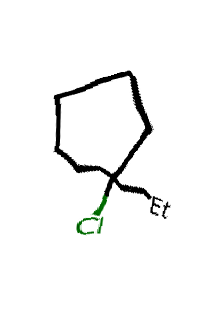 [CH2]CC1(Cl)CCCC1